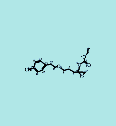 CCOC(=O)OC1(CCCOCCc2ccc(Cl)cc2)CO1